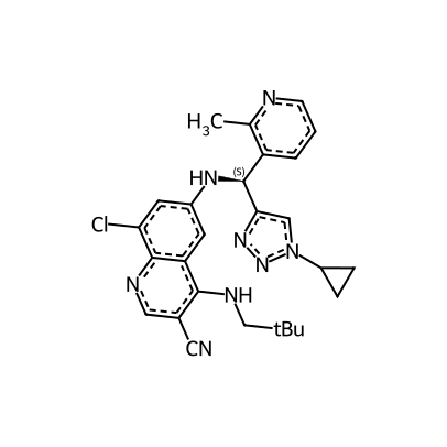 Cc1ncccc1[C@H](Nc1cc(Cl)c2ncc(C#N)c(NCC(C)(C)C)c2c1)c1cn(C2CC2)nn1